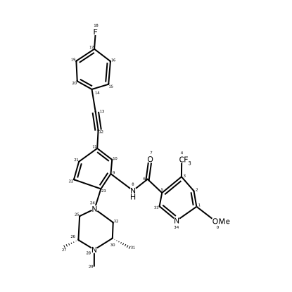 COc1cc(C(F)(F)F)c(C(=O)Nc2cc(C#Cc3ccc(F)cc3)ccc2N2C[C@@H](C)N(C)[C@@H](C)C2)cn1